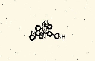 O=C(Nc1cccc(-c2nc3ccccn3c2-c2ccnc(Nc3ccc(C4CCNCC4)cc3)n2)c1)c1ccccc1Cl